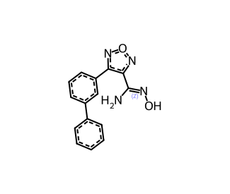 N/C(=N\O)c1nonc1-c1cccc(-c2ccccc2)c1